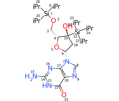 CC(C)[Si](OC[C@H]1O[C@@H](n2cnc3c(=O)[nH]c(N)nc32)C[C@@]1(O)[Si](C(C)C)(C(C)C)C(C)C)(C(C)C)C(C)C